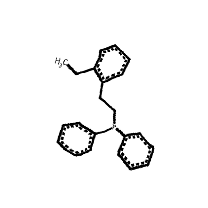 CCc1ccccc1CCP(c1ccccc1)c1ccccc1